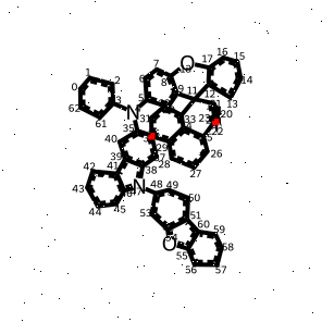 c1ccc(N(c2ccc3c(c2)C2(c4ccccc4O3)c3ccccc3-c3cccc4cccc2c34)c2ccc3c(c2)c2ccccc2n3-c2ccc3c(c2)oc2ccccc23)cc1